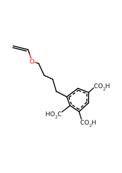 C=COCCCCc1cc(C(=O)O)cc(C(=O)O)c1C(=O)O